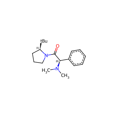 CN(C)[C@@H](C(=O)N1CCC[C@H]1C(C)(C)C)c1ccccc1